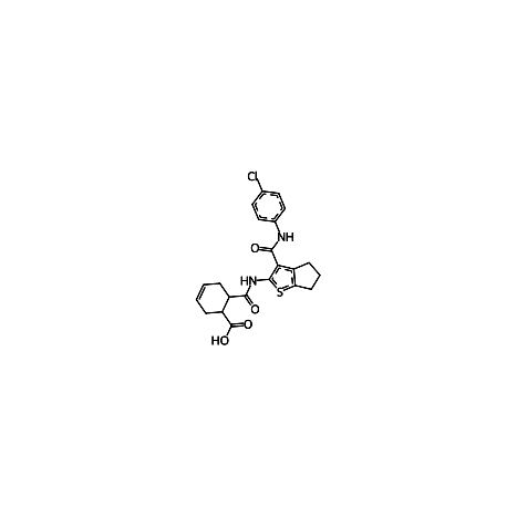 O=C(Nc1ccc(Cl)cc1)c1c(NC(=O)C2CC=CCC2C(=O)O)sc2c1CCC2